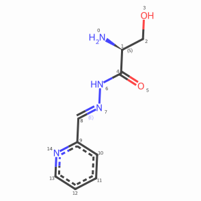 N[C@@H](CO)C(=O)N/N=C/c1ccccn1